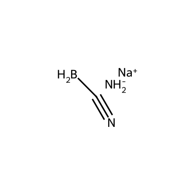 BC#N.[NH2-].[Na+]